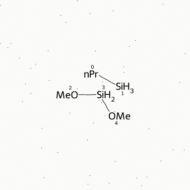 CCC[SiH3].CO[SiH2]OC